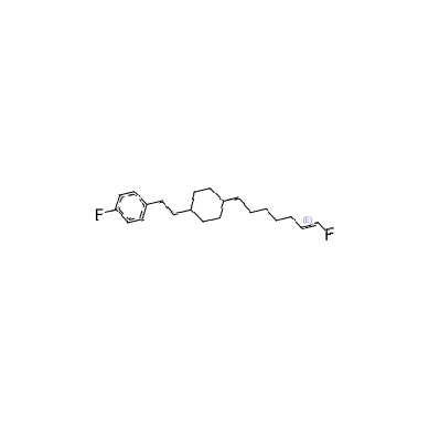 F/C=C/CCCCCC1CCC(CCc2ccc(F)cc2)CC1